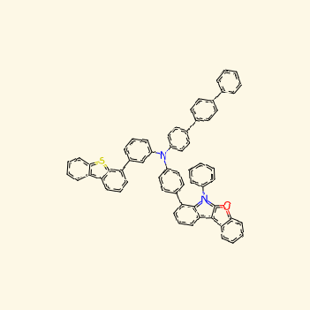 c1ccc(-c2ccc(-c3ccc(N(c4ccc(-c5cccc6c7c8ccccc8oc7n(-c7ccccc7)c56)cc4)c4cccc(-c5cccc6c5sc5ccccc56)c4)cc3)cc2)cc1